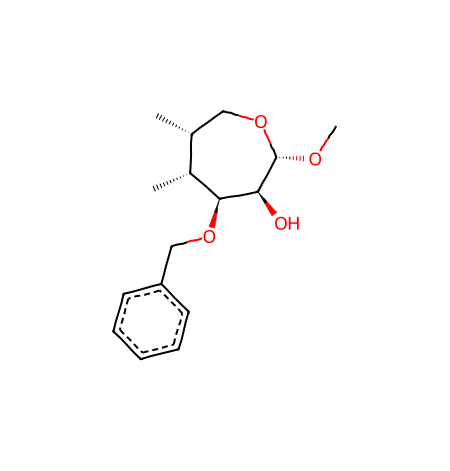 CO[C@H]1OC[C@@H](C)[C@@H](C)[C@H](OCc2ccccc2)[C@@H]1O